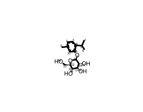 Cc1ccc(C(C)C)c(O[C@@H]2O[C@H](CO)[C@@H](O)[C@H](O)[C@H]2O)c1